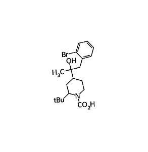 CC(C)(C)C1CC(C(C)(O)Cc2ccccc2Br)CCN1C(=O)O